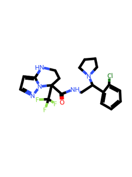 O=C(NCC(c1ccccc1Cl)N1CCCC1)C1(C(F)(F)F)CCNc2ccnn21